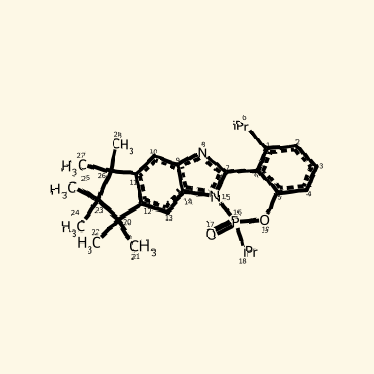 CC(C)c1cccc2c1-c1nc3cc4c(cc3n1P(=O)(C(C)C)O2)C(C)(C)C(C)(C)C4(C)C